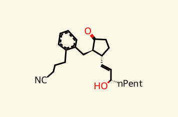 CCCCC[C@H](O)/C=C/[C@H]1CCC(=O)[C@@H]1Cc1ccccc1CCCC#N